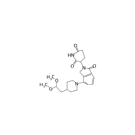 COC(CC1CCN(c2cccc3c2CN(C2CCC(=O)NC2=O)C3=O)CC1)OC